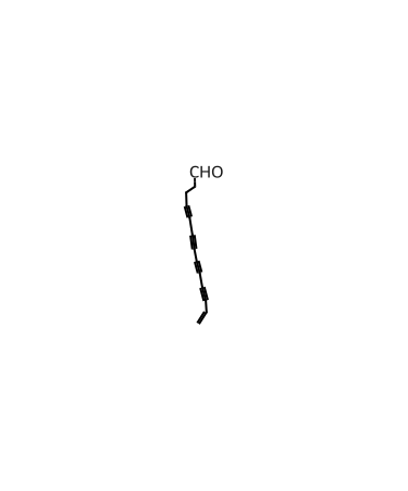 C=CC#CC#CC#CC#CCCC=O